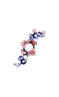 Nc1ccnc2c1ncn2[C@@H]1O[C@@H]2COP(=O)(S)O[C@@H]3[C@H](O)[C@@H](COP(=O)(S)O[C@H]2[C@@H]1F)O[C@H]3n1cnc2c(=O)n3c(nc21)NC(=O)C3